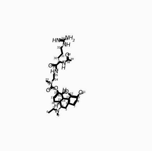 CCN(C)[C@@H]1Cc2ccc(OC)c3c2C2[C@H]1CC=C(OC(=O)N(C)CCNC(=O)[C@H](CCCNC(=N)N)NC(C)=O)[C@@H]2O3